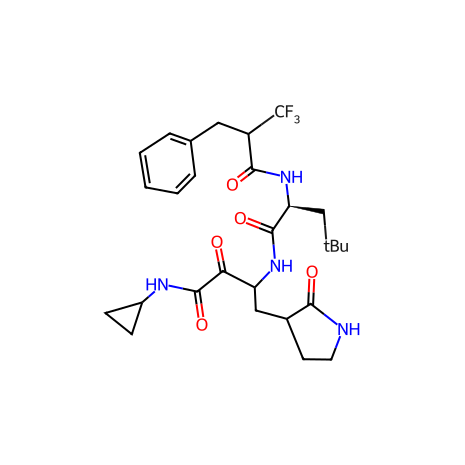 CC(C)(C)C[C@H](NC(=O)C(Cc1ccccc1)C(F)(F)F)C(=O)NC(CC1CCNC1=O)C(=O)C(=O)NC1CC1